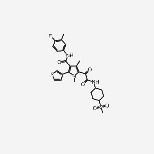 Cc1cc(NC(=O)c2c(C)c(C(=O)C(=O)NC3CCC(S(C)(=O)=O)CC3)n(C)c2-c2ccsc2)ccc1F